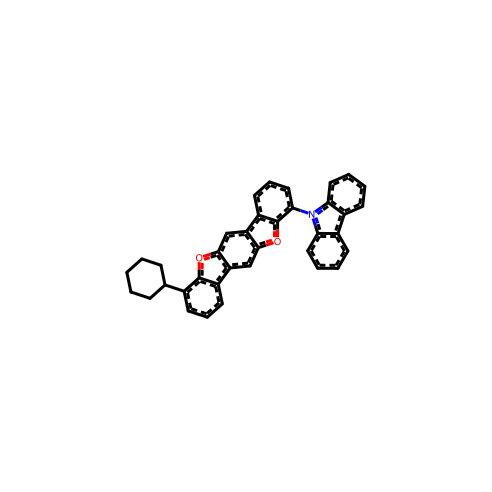 c1cc(C2CCCCC2)c2oc3cc4c(cc3c2c1)oc1c(-n2c3ccccc3c3ccccc32)cccc14